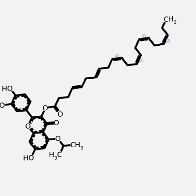 CC/C=C\C/C=C\C/C=C\C/C=C\CC=CCC=CCCC(=O)Oc1c(-c2ccc(O)c(O)c2)oc2cc(O)cc(OC(C)C)c2c1=O